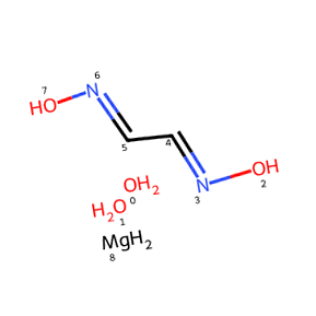 O.O.ON=CC=NO.[MgH2]